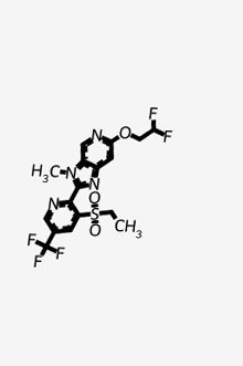 CCS(=O)(=O)c1cc(C(F)(F)F)cnc1-c1nc2cc(OCC(F)F)ncc2n1C